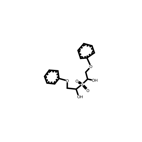 O=S(=O)(C(O)COc1ccccc1)C(O)COc1ccccc1